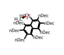 C=O.CCCCCCCCCCc1c(CCCCCCCCCC)c(CCCCCCCCCC)c2c(S(=O)(=O)O)c(CCCCCCCCCC)c(CCCCCCCCCC)c(CCCCCCCCCC)c2c1CCCCCCCCCC